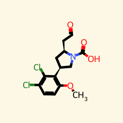 COc1ccc(Cl)c(Cl)c1[C@H]1C[C@@H](CC=O)N(C(=O)O)C1